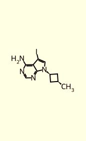 C[C@H]1C[C@@H](n2cc(I)c3c(N)ncnc32)C1